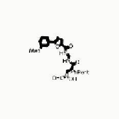 CCCCC[C@H](CN(O)C=O)C(=O)NCNC(=O)c1ccc(-c2cccc(SC)c2)o1